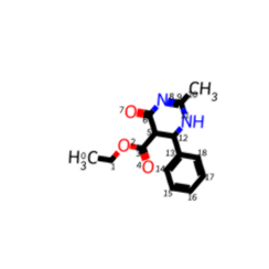 CCOC(=O)C1C(=O)N=C(C)NC1c1ccccc1